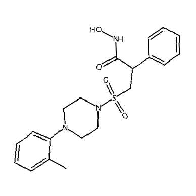 Cc1ccccc1N1CCN(S(=O)(=O)CC(C(=O)NO)c2ccccc2)CC1